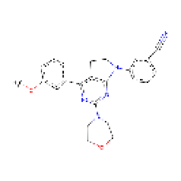 COc1cccc(-c2nc(N3CCOCC3)nc3c2CCN3c2cccc(C#N)c2)c1